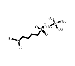 CCCC[N+](CCCC)(CCCC)CCCC.CCN(CC)CCCCS(=O)(=O)[O-]